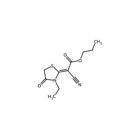 CCCOC(=O)C(C#N)=C1SCC(=O)N1CC